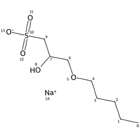 CCCCCOCC(O)CS(=O)(=O)[O-].[Na+]